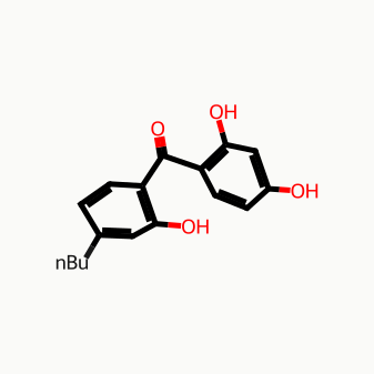 CCCCc1ccc(C(=O)c2ccc(O)cc2O)c(O)c1